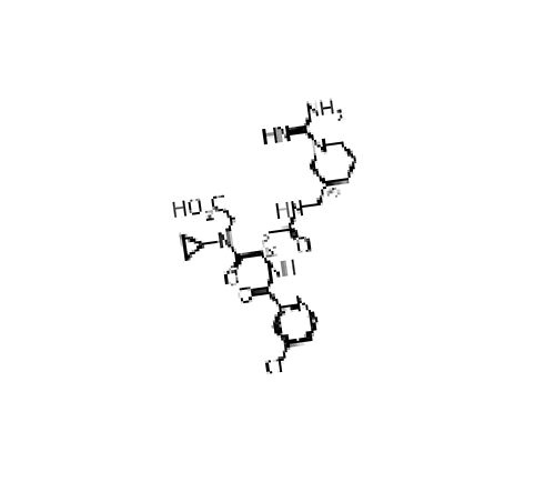 N=C(N)N1CCC[C@@H](CNC(=O)C[C@H](NC(=O)c2cc(Cl)ccn2)C(=O)N(CC(=O)O)C2CC2)C1